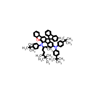 C=C/C(=C\C=C(/C)C(C)(C)C)N(c1ccc(C(C)(C)C)cc1)c1c2c(cc3c1-c1ccc(N(c4ccc(C(C)(C)C)cc4)c4ccc(C(C)(C)C)cc4)cc1C31c3ccccc3-c3ccccc31)C1C=CC=CC1O2